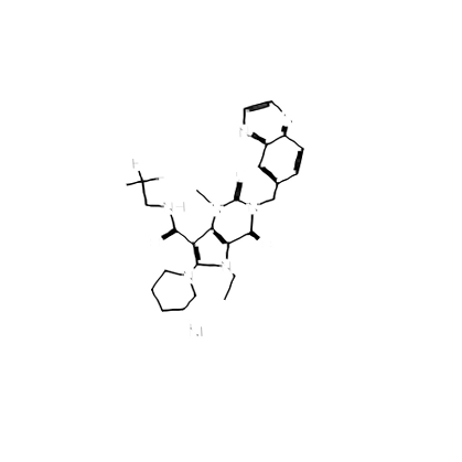 CCn1c(N2CCC[C@@H](N)C2)c(C(=O)NCC(F)(F)F)c2c1c(=O)n(Cc1ccc3nccnc3c1)c(=O)n2C